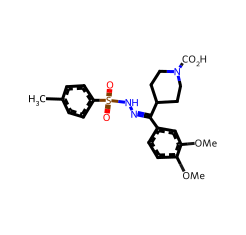 COc1ccc(C(=NNS(=O)(=O)c2ccc(C)cc2)C2CCN(C(=O)O)CC2)cc1OC